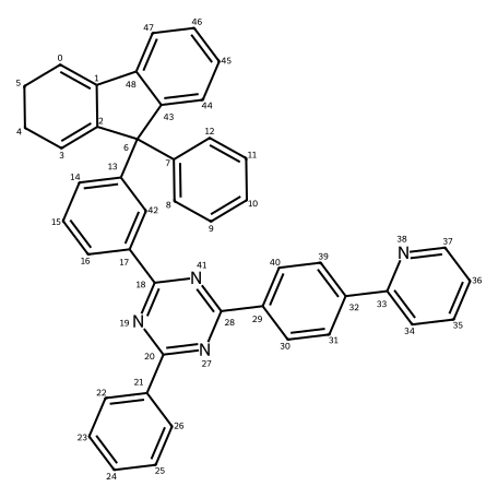 C1=C2C(=CCC1)C(c1ccccc1)(c1cccc(-c3nc(-c4ccccc4)nc(-c4ccc(-c5ccccn5)cc4)n3)c1)c1ccccc12